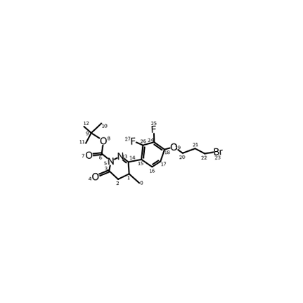 CC1CC(=O)N(C(=O)OC(C)(C)C)N=C1c1ccc(OCCCBr)c(F)c1F